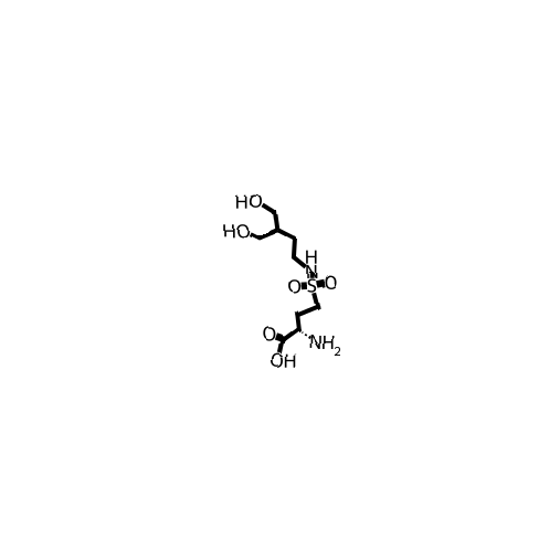 N[C@@H](CCS(=O)(=O)NCCC(CO)CO)C(=O)O